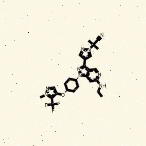 CCNc1cc2c(cn1)c(-c1cnn(C(C)(C)C#N)c1)nn2[C@H]1CC[C@@H](Oc2cnn(C)c2C(F)(F)F)CC1